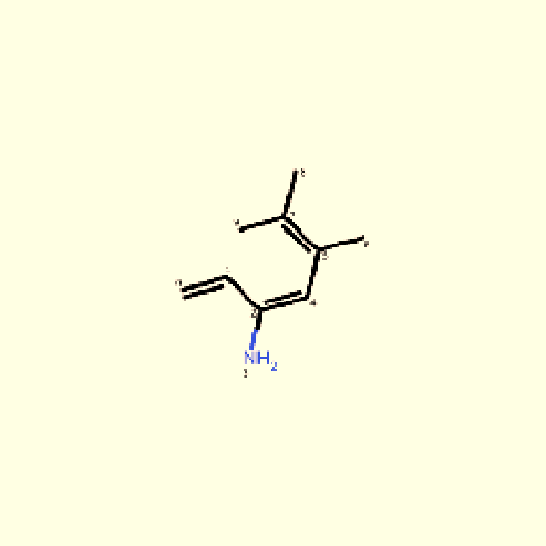 C=C/C(N)=C\C(C)=C(C)C